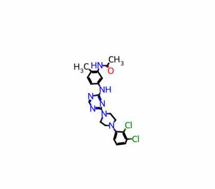 CC(=O)Nc1cc(Nc2ncnc(N3CCN(c4cccc(Cl)c4Cl)CC3)n2)ccc1C